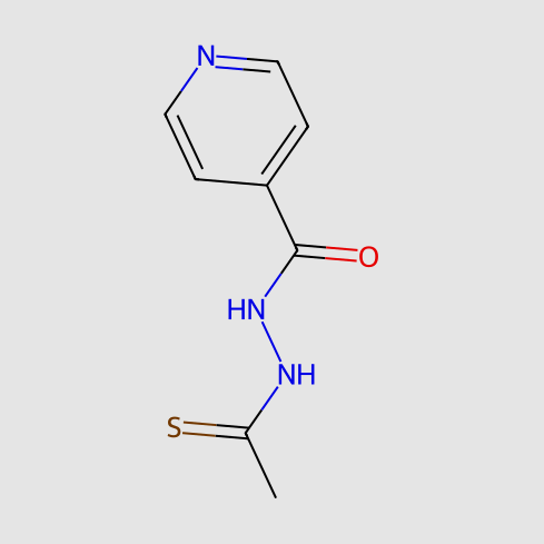 CC(=S)NNC(=O)c1ccncc1